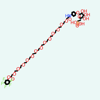 O=C(COCCOCCOCCOCCOCCOCCOCCOCCOCCOCCOCCOCCOCC(=O)Oc1c(F)c(F)c(F)c(F)c1F)Nc1ccc(O[C@H]2O[C@H](CCP(=O)(O)O)[C@@H](O)[C@H](O)[C@@H]2O)cc1